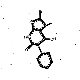 Cc1c(Br)sc2[nH]c(=O)c(-c3ccccc3)c(O)c12